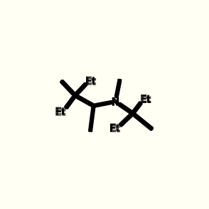 CCC(C)(CC)C(C)N(C)C(C)(CC)CC